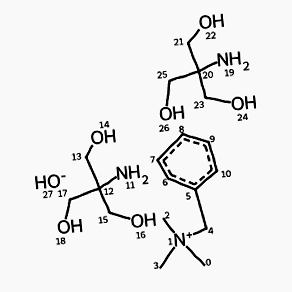 C[N+](C)(C)Cc1ccccc1.NC(CO)(CO)CO.NC(CO)(CO)CO.[OH-]